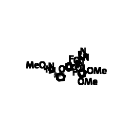 COCn1cc([C@H]2CCCC[C@@H]2Oc2cc(F)c(S(=O)(=O)N(Cc3ccc(OC)cc3OC)c3ccncn3)c(F)c2)cn1